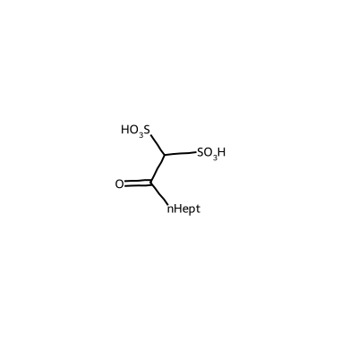 CCCCCCCC(=O)C(S(=O)(=O)O)S(=O)(=O)O